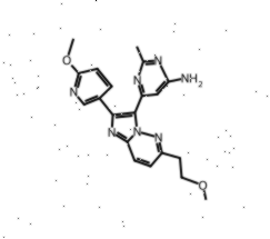 COCCc1ccc2nc(-c3ccc(OC)nc3)c(-c3cc(N)nc(C)n3)n2n1